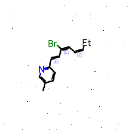 CC\C=C/C=C(Br)\C=C\c1ccc(C)cn1